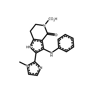 Cn1ccnc1-c1[nH]c2c(c1Nc1ccccc1)C(=O)N(C(=O)O)CC2